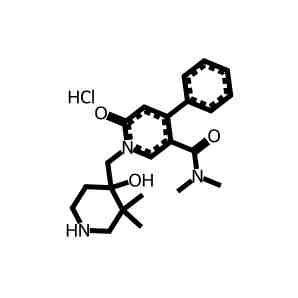 CN(C)C(=O)c1cn(CC2(O)CCNCC2(C)C)c(=O)cc1-c1ccccc1.Cl